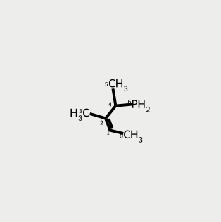 CC=C(C)C(C)P